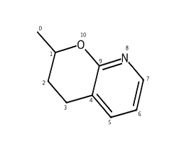 CC1CCc2cccnc2O1